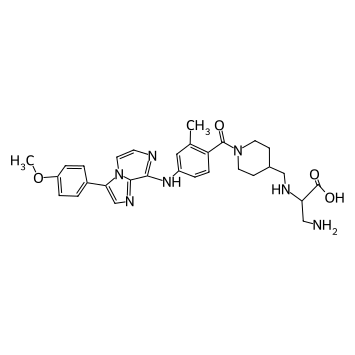 COc1ccc(-c2cnc3c(Nc4ccc(C(=O)N5CCC(CNC(CN)C(=O)O)CC5)c(C)c4)nccn23)cc1